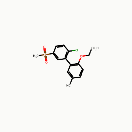 CS(=O)(=O)c1ccc(Cl)c(-c2cc(C#N)ccc2OCC(=O)O)c1